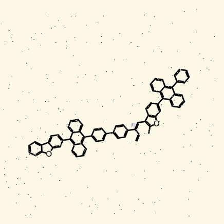 C=C/C(=C\c1c(C)oc2cc(-c3c4ccccc4c(-c4ccccc4)c4ccccc34)ccc12)c1ccc(-c2ccc(-c3c4ccccc4c(-c4ccc5c(c4)oc4ccccc45)c4ccccc34)cc2)cc1